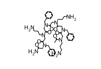 CC(=O)N(CCCN)CC(=O)N(CC(=O)N(CCCN)CC(=O)N(CC(=O)N(CCCN)CC(=O)N(CC(N)=O)Cc1ccccc1)Cc1ccccc1)Cc1ccccc1